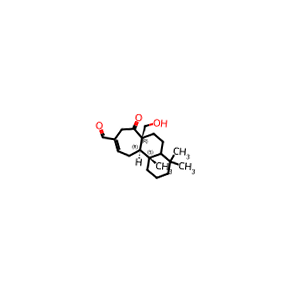 CC1(C)CCC[C@@]2(C)C1CC[C@@]1(CO)C(=O)CC(C=O)=CC[C@@H]12